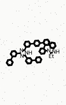 CCC1Nc2ccccc2N1c1ccccc1-c1ccccc1-c1ccc(-c2cccc(C3=NC(c4cccc(-c5ccccc5)c4)=NC(c4cccc(-c5ccccc5)c4)N3)c2)cc1